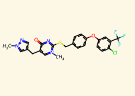 Cn1cc(Cc2cn(C)c(SCc3ccc(Oc4ccc(Cl)c(C(F)(F)F)c4)cc3)nc2=O)cn1